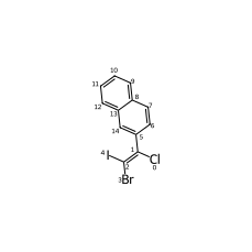 ClC(=C(Br)I)c1ccc2ccccc2c1